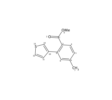 COC(=O)c1ccc(C)cc1-c1ccsc1